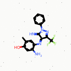 Cc1cc(N=C2C(=N)N(c3ccccc3)N=C2C(F)(F)F)c(N)cc1O